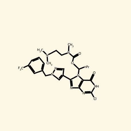 CCCC(OC(=O)N(C)CCN(C)C)n1c(-c2cnn(Cc3cccc(C(F)(F)F)c3)c2)nc2nc(Cl)[nH]c(=O)c21